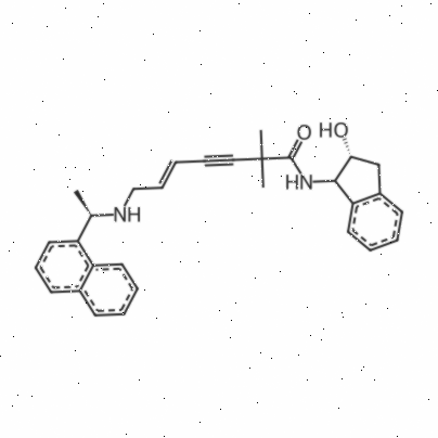 C[C@@H](NC/C=C/C#CC(C)(C)C(=O)NC1c2ccccc2C[C@H]1O)c1cccc2ccccc12